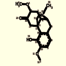 COC1CC2C3Cc4ccc(OI)c(O)c4[C@]2(CCN3C)CC1=O